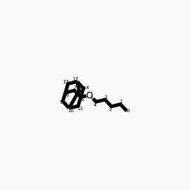 CCCCCOC12CC3CC(CC(C3)C1)C2